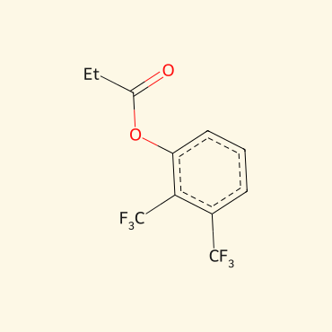 CCC(=O)Oc1cccc(C(F)(F)F)c1C(F)(F)F